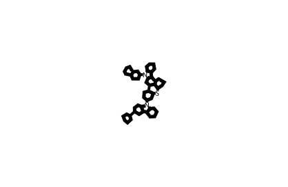 c1ccc(-c2ccc3c(c2)c2ccccc2n3-c2ccc3c(c2)Sc2cccc4c2c-3cc2c4c3ccccc3n2-c2ccc3ccccc3c2)cc1